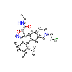 CCNC(=O)c1onc(-c2cc(C(C)C)c(C)cc2C)c1-c1ccc2c(c1)CCN(CCF)C2